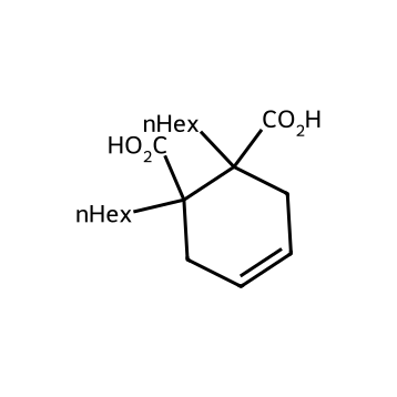 CCCCCCC1(C(=O)O)CC=CCC1(CCCCCC)C(=O)O